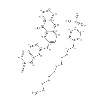 CCCCCCCCCCCCc1ccc(S(=O)(=O)[O-])cc1.O=c1ccc2ccc([I+]c3ccc4oc5ccccc5c(=O)c4c3)cc2o1